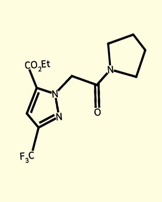 CCOC(=O)c1cc(C(F)(F)F)nn1CC(=O)N1CCCC1